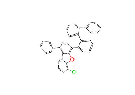 Clc1cccc2c1oc1c(-c3ccccc3-c3ccccc3-c3ccccc3)ccc(-c3ccccc3)c12